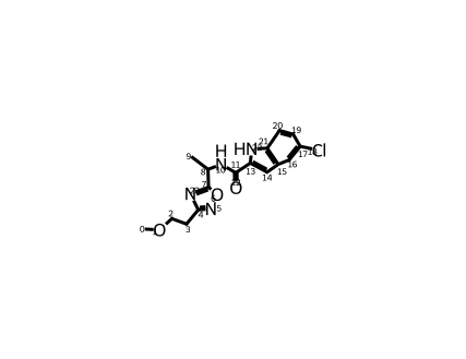 COCCc1noc(C(C)NC(=O)c2cc3cc(Cl)ccc3[nH]2)n1